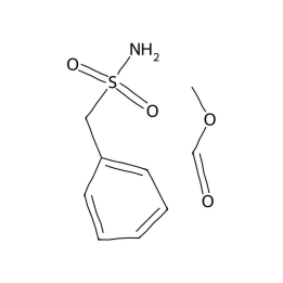 COC=O.NS(=O)(=O)Cc1ccccc1